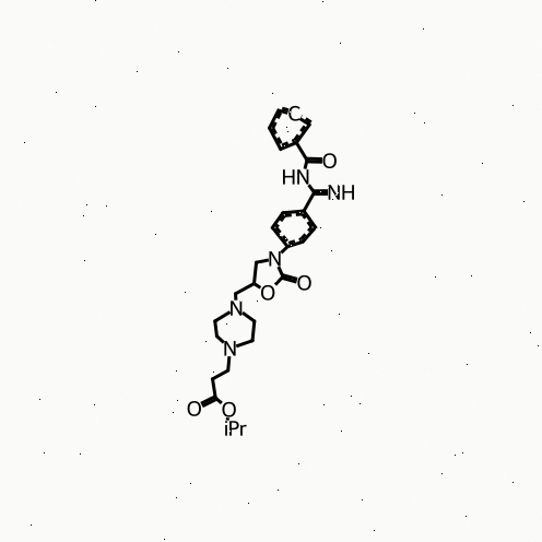 CC(C)OC(=O)CCN1CCN(CC2CN(c3ccc(C(=N)NC(=O)c4ccccc4)cc3)C(=O)O2)CC1